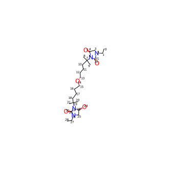 CCN1CC(=O)N(C(C)(C)CCCCOCCCCC(C)(C)N2C(=O)CN(CC)C2=O)C1=O